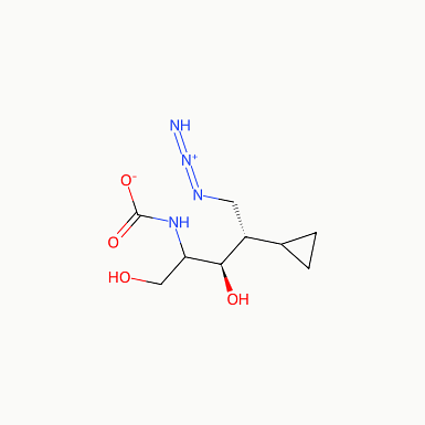 N=[N+]=NC[C@H](C1CC1)[C@@H](O)C(CO)NC(=O)[O-]